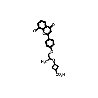 CC(COc1ccc(-c2cc(=O)c3cccc(Cl)c3o2)cc1)OC1CC(C(=O)O)C1